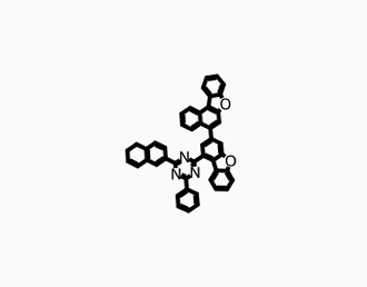 C1=Cc2cc(-c3nc(-c4ccccc4)nc(-c4cc(-c5cc6oc7ccccc7c6c6ccccc56)cc5oc6ccccc6c45)n3)ccc2CC1